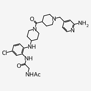 CC(=O)NCC(=O)Nc1cc(Cl)ccc1NC1CCN(C(=O)C2CCN(Cc3ccnc(N)c3)CC2)CC1